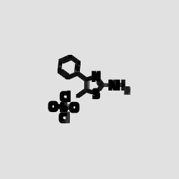 Cc1sc(N)nc1-c1ccccc1.O=S(=O)(Cl)Cl